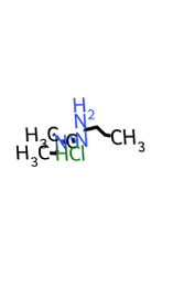 CCCC(N)N=C=[N+](C)CC.Cl